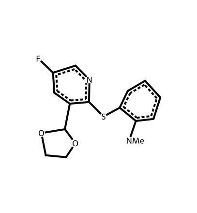 CNc1ccccc1Sc1ncc(F)cc1C1OCCO1